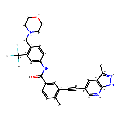 Cc1ccc(C(=O)Nc2ccc(CN3CCOCC3)c(C(F)(F)F)c2)cc1C#Cc1cnc2[nH]nc(C)c2c1